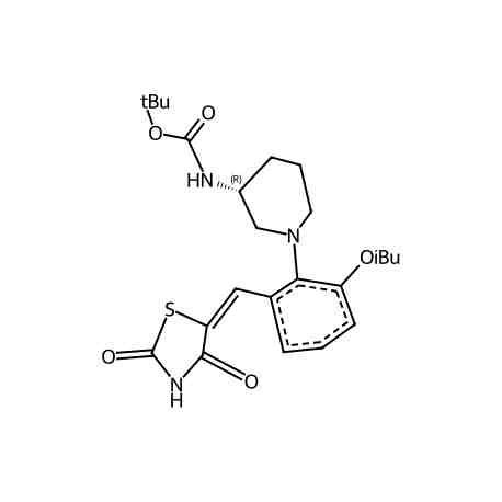 CC(C)COc1cccc(C=C2SC(=O)NC2=O)c1N1CCC[C@@H](NC(=O)OC(C)(C)C)C1